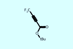 CC(C)(C)OC(=O)C#CC(F)(F)F